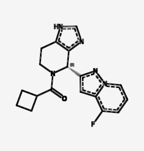 O=C(C1CCC1)N1CCc2[nH]cnc2[C@@H]1c1cc2c(F)cccn2n1